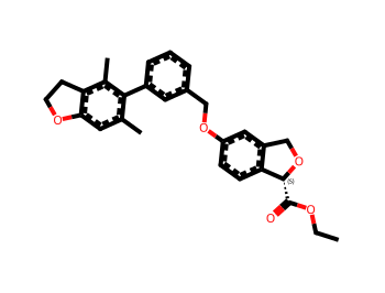 CCOC(=O)[C@H]1OCc2cc(OCc3cccc(-c4c(C)cc5c(c4C)CCO5)c3)ccc21